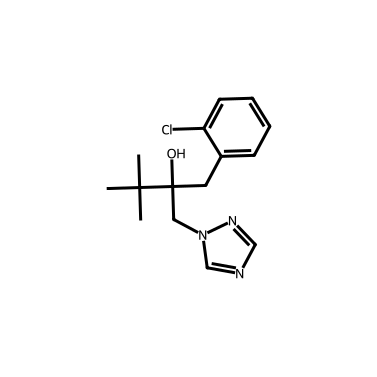 CC(C)(C)C(O)(Cc1ccccc1Cl)Cn1cncn1